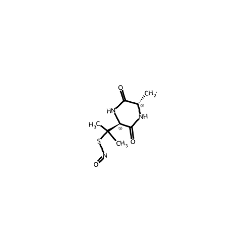 [CH2][C@@H]1NC(=O)[C@@H](C(C)(C)SN=O)NC1=O